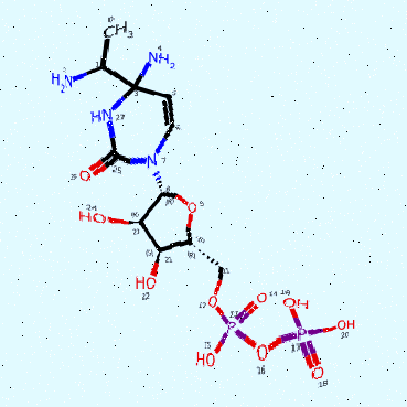 CC(N)C1(N)C=CN([C@@H]2O[C@H](COP(=O)(O)OP(=O)(O)O)[C@@H](O)[C@H]2O)C(=O)N1